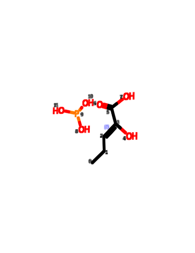 CC/C=C(\O)C(=O)O.OP(O)O